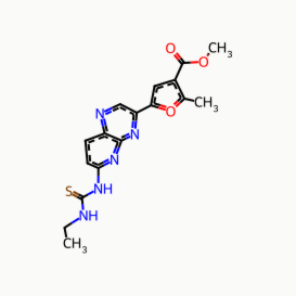 CCNC(=S)Nc1ccc2ncc(-c3cc(C(=O)OC)c(C)o3)nc2n1